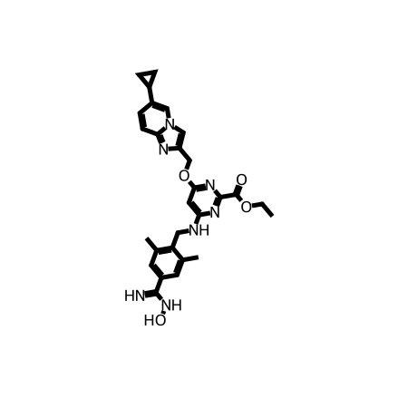 CCOC(=O)c1nc(NCc2c(C)cc(C(=N)NO)cc2C)cc(OCc2cn3cc(C4CC4)ccc3n2)n1